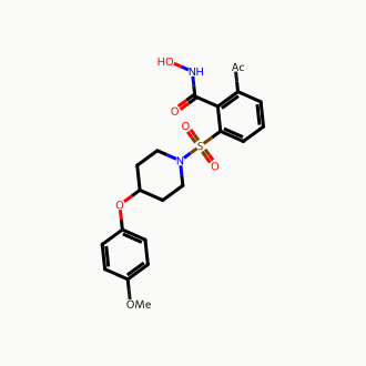 COc1ccc(OC2CCN(S(=O)(=O)c3cccc(C(C)=O)c3C(=O)NO)CC2)cc1